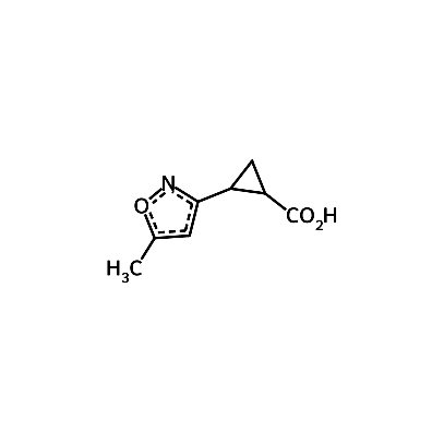 Cc1cc(C2CC2C(=O)O)no1